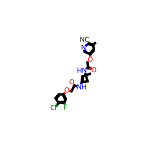 Cc1cc(OCC(=O)NC2(C)C=C(NC(=O)COc3ccc(Cl)c(F)c3)C2)cnc1C#N